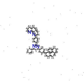 c1ccc(-c2cc(-c3ccc(-c4ccc5ccc6cccc7ccc4c5c67)cc3)nc(-c3ccc(-c4ccc5ccc6cccnc6c5n4)cc3)n2)cc1